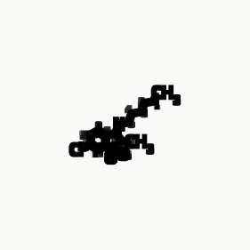 CCCCCCN=C1c2ccc(Cl)cc2S(=O)(=O)C1C